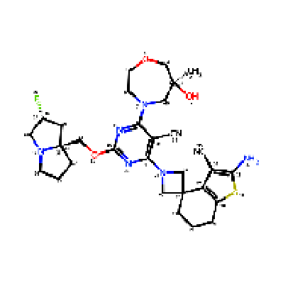 C[C@@]1(O)COCCN(c2nc(OC[C@@]34CCCN3C[C@H](F)C4)nc(N3CC4(CCCc5sc(N)c(C#N)c54)C3)c2C#N)C1